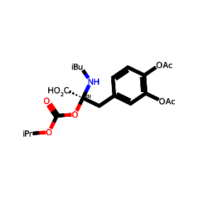 CCC(C)N[C@@](Cc1ccc(OC(C)=O)c(OC(C)=O)c1)(OC(=O)OC(C)C)C(=O)O